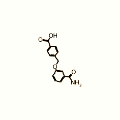 NC(=O)c1cccc(OCc2ccc(C(=O)O)cc2)c1